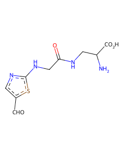 NC(CNC(=O)CNc1ncc(C=O)s1)C(=O)O